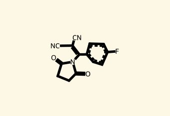 N#CC(C#N)=C(c1ccc(F)cc1)N1C(=O)CCC1=O